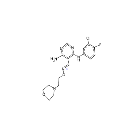 Nc1ncnc(Nc2ccc(F)c(Cl)c2)c1/C=N/OCCN1CCOCC1